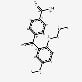 COCOc1ccc(OC)cc1C(=O)c1ccc(C(=O)O)cc1